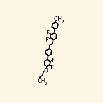 C=CCCOc1ccc(-c2ccc(CCc3ccc(-c4ccc(C)cc4)c(F)c3F)cc2)c(F)c1F